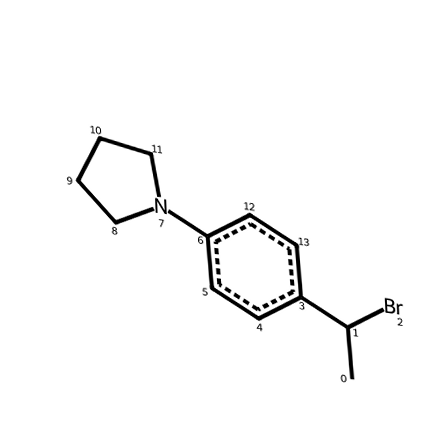 CC(Br)c1ccc(N2CCCC2)cc1